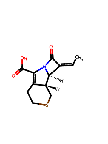 CC=C1C(=O)N2C(C(=O)O)=C3CCSC[C@H]3[C@H]12